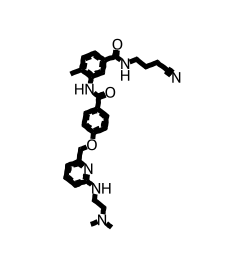 Cc1ccc(C(=O)NCCCC#N)cc1NC(=O)c1ccc(OCc2cccc(NCCN(C)C)n2)cc1